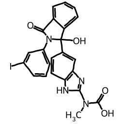 CN(C(=O)O)c1nc2cc(C3(O)c4ccccc4C(=O)N3c3cccc(I)c3)ccc2[nH]1